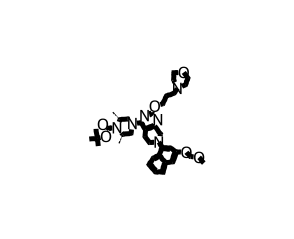 COCOc1cc(N2CCc3c(nc(OCCCN4CCOCC4)nc3N3C[C@@H](C)N(C(=O)OC(C)(C)C)[C@@H](C)C3)C2)c2ccccc2c1